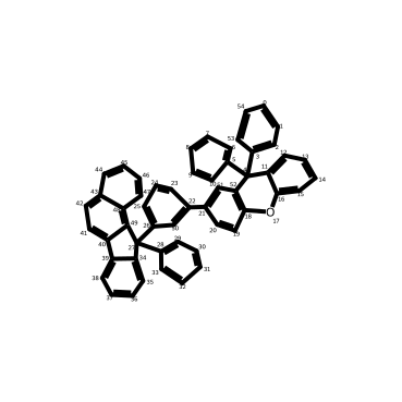 c1ccc(C2(c3ccccc3)c3ccccc3Oc3ccc(-c4cccc(C5(c6ccccc6)c6ccccc6-c6ccc7ccccc7c65)c4)cc32)cc1